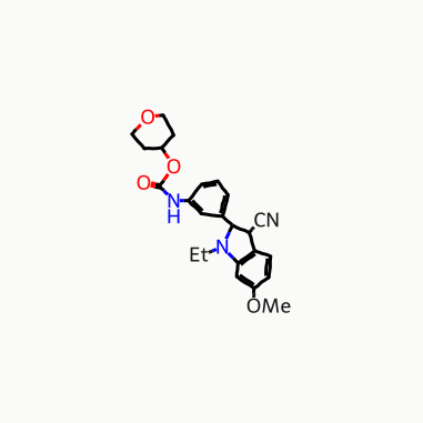 CCN1c2cc(OC)ccc2C(C#N)C1c1cccc(NC(=O)OC2CCOCC2)c1